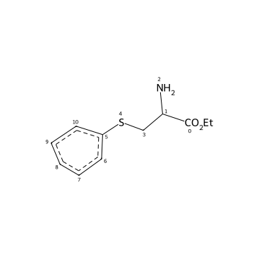 CCOC(=O)C(N)CSc1ccccc1